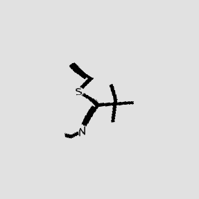 C=CS/C(=N\C)C(C)(C)C